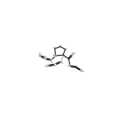 O=C=NC(=O)[C@]1(N=C=O)CCCN1N=C=O